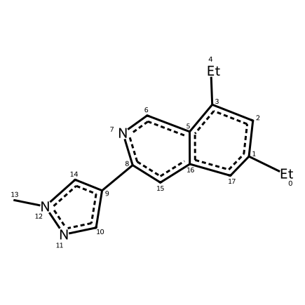 CCc1cc(CC)c2cnc(-c3cnn(C)c3)cc2c1